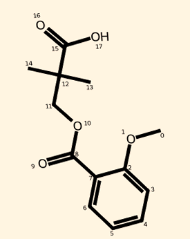 COc1ccccc1C(=O)OCC(C)(C)C(=O)O